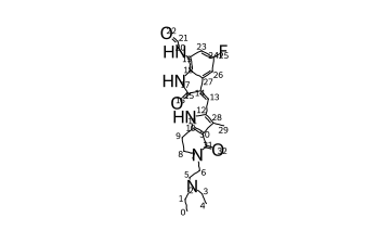 CCN(CC)CCN1CCc2[nH]c(C=C3C(=O)Nc4c(NC=O)cc(F)cc43)c(C)c2C1=O